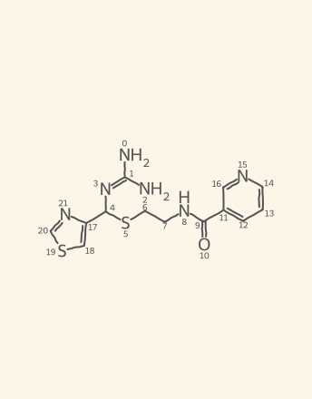 NC(N)=NC(SCCNC(=O)c1cccnc1)c1cscn1